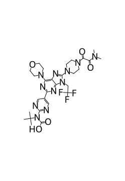 CN(C)C(=O)C(=O)N1CCN(c2nc3c(N4CCOCC4)nc(-c4cnc(N(C(=O)O)C(C)(C)C)nc4)nc3n2CC(F)(F)F)CC1